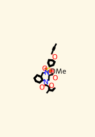 CC#CCOc1ccc(S(=O)(=O)N2Cc3ccccc3N(C(=O)c3occc3C)CC2C(=O)OC)cc1